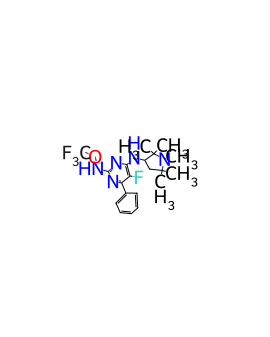 CN1C(C)(C)CC(Nc2nc(NOC(F)(F)F)nc(-c3ccccc3)c2F)C1(C)C